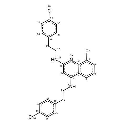 Fc1cccc2c(NCCc3ccc(Cl)cc3)cc(NCCc3ccc(Cl)cc3)nc12